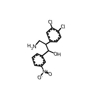 NCC(c1ccc(Cl)c(Cl)c1)C(O)c1cccc([N+](=O)[O-])c1